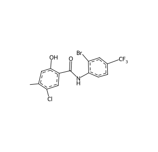 Cc1cc(O)c(C(=O)Nc2ccc(C(F)(F)F)cc2Br)cc1Cl